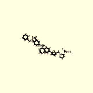 NC(=O)[C@@H]1CCCN1Cc1ccc(-c2ccc3c(Nc4ccc5c(cnn5Cc5ccccc5)c4)ncnc3c2)o1